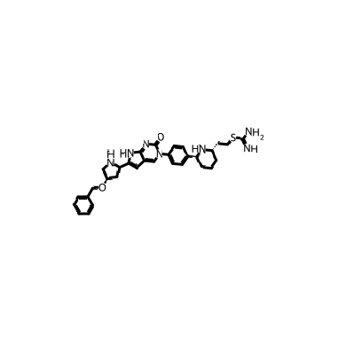 N=C(N)SCC[C@@H]1CCC[C@@H](c2ccc(-n3cc4cc(C5C[C@@H](OCc6ccccc6)CN5)[nH]c4nc3=O)cc2)N1